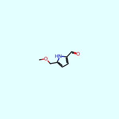 COCc1ccc(C=O)[nH]1